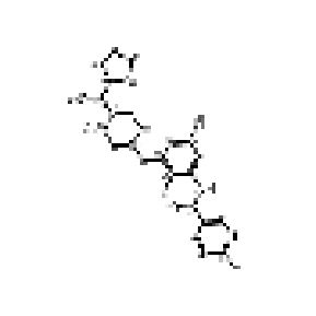 Cc1ncc(C(=O)Nc2cc(Cl)cc(CN3CCN(C(=O)C4CCCC4)[C@@H](C)C3)c2C)cn1